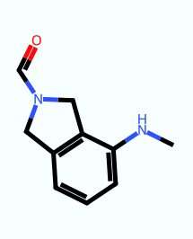 CNc1cccc2c1CN(C=O)C2